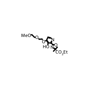 CCOC(=O)[C@@]1(C)COC(c2nccc(OCCOCCOC)c2O)=N1